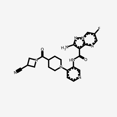 N#CC1CN(C(=O)C2CCN(c3ccncc3NC(=O)c3c(N)nn4cc(F)cnc34)CC2)C1